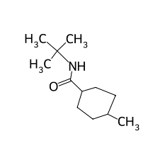 CC1CCC(C(=O)NC(C)(C)C)CC1